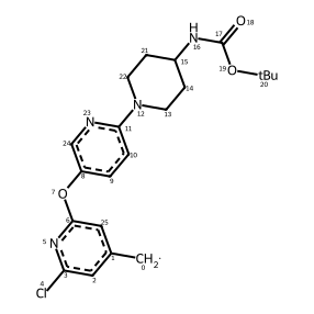 [CH2]c1cc(Cl)nc(Oc2ccc(N3CCC(NC(=O)OC(C)(C)C)CC3)nc2)c1